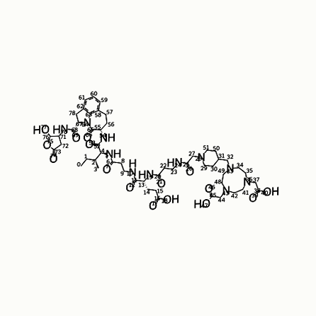 CC[C@H](C)[C@H](NC(=O)CCNC(=O)[C@@H](CCC(=O)O)NC(=O)CCNC(=O)CN1CCC(CN2CCN(CC(=O)O)CCN(CC(=O)O)CC2)CC1)C(=O)N[C@H]1CCc2cccc3c2N(C1=O)[C@H](C(=O)NC1CC(=O)OC1O)C3